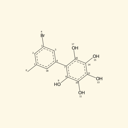 Cc1cc(Br)cc(-c2c(O)c(O)c(O)c(O)c2O)c1